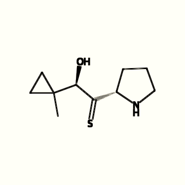 CC1([C@@H](O)C(=S)[C@@H]2CCCN2)CC1